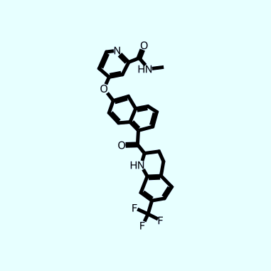 CNC(=O)c1cc(Oc2ccc3c(C(=O)C4CCc5ccc(C(F)(F)F)cc5N4)cccc3c2)ccn1